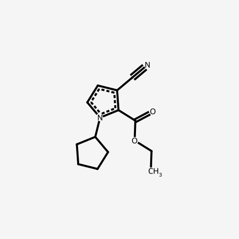 CCOC(=O)c1c(C#N)ccn1C1CCCC1